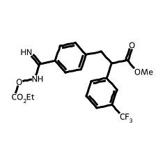 CCOC(=O)ONC(=N)c1ccc(CC(C(=O)OC)c2cccc(C(F)(F)F)c2)cc1